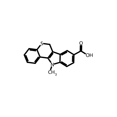 Cn1c2c(c3cc(C(=O)O)ccc31)CSc1ccccc1-2